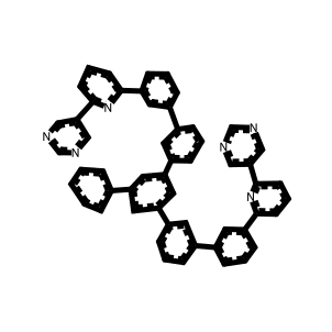 c1ccc(-c2cc(-c3cccc(-c4cccc(-c5cccc(-c6cncnc6)n5)c4)c3)cc(-c3cccc(-c4cccc(-c5cccc(-c6cncnc6)n5)c4)c3)c2)cc1